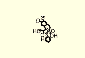 COc1cc2c(cc1OC)C(C(CO)CO)N(N(Sc1ccccc1)C(=O)O)CC2